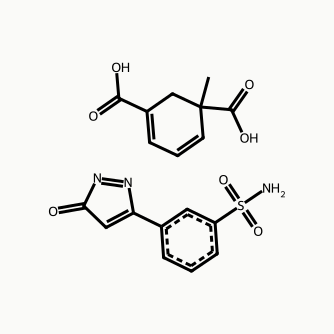 CC1(C(=O)O)C=CC=C(C(=O)O)C1.NS(=O)(=O)c1cccc(C2=CC(=O)N=N2)c1